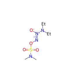 CCN(CC)/[N+]([O-])=N/OS(=O)(=O)N(C)C